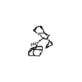 c1ccn2c(NC34CC5CC(CC(C5)C3)C4)c(C3CC3)nc2c1